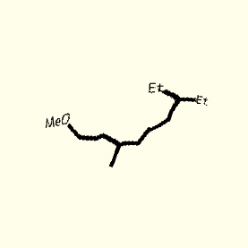 CCC(CC)CCCC(C)CCOC